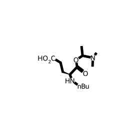 CCCCN[C@@H](CCC(=O)O)C(=O)OC(C)N(C)C